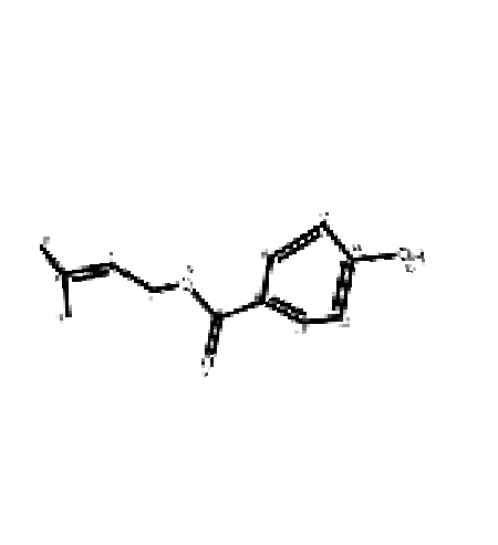 CC(C)=CCOC(=O)c1ccc(O)cc1